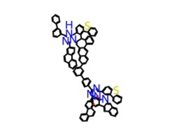 c1ccc(-c2cccc(C3=NC(c4ccc5c(ccc6ccccc65)c4)=NC(c4ccc5sc6ccccc6c5c4C4CCc5cc6cc(-c7cccc(-c8ccc(-c9nc(-c%10ccc%11c(ccc%12ccccc%12%11)c%10)nc(-c%10ccc%11sc%12ccccc%12c%11c%10-n%10c%11ccccc%11c%11cc%12ccccc%12cc%11%10)n9)cc8)c7)ccc6cc5-c5ccccc54)N3)c2)cc1